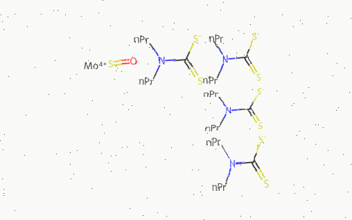 CCCN(CCC)C(=S)[S-].CCCN(CCC)C(=S)[S-].CCCN(CCC)C(=S)[S-].CCCN(CCC)C(=S)[S-].O=S.[Mo+4]